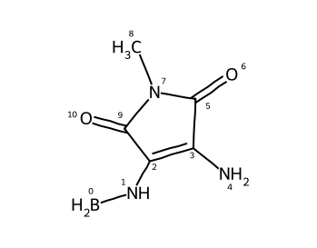 BNC1=C(N)C(=O)N(C)C1=O